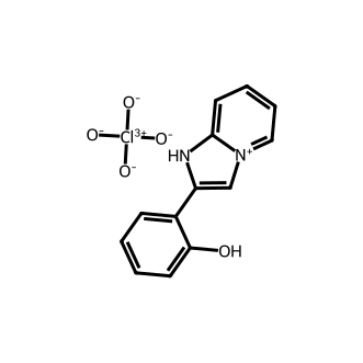 Oc1ccccc1-c1c[n+]2ccccc2[nH]1.[O-][Cl+3]([O-])([O-])[O-]